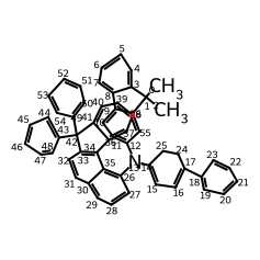 CC1(C)c2ccccc2-c2ccc(N(C3=CC=C(c4ccccc4)CC3)c3cccc4ccc5c(c34)-c3ccccc3C5(c3ccccc3)c3ccccc3)cc21